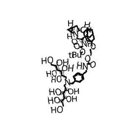 CC(C)(C)OC(=O)N[C@H](C(=O)N1[C@H](C#N)C[C@@H]2C[C@@H]21)C12CC3C[C@H](CC(OCCOC(=O)NCc4ccc(CN(C[C@H](O)[C@@H](O)[C@H](O)[C@H](O)CO)C[C@H](O)[C@@H](O)[C@H](O)[C@H](O)CO)cc4)(C3)C1)C2